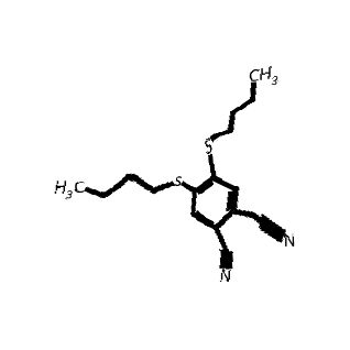 CCCCSc1cc(C#N)c(C#N)cc1SCCCC